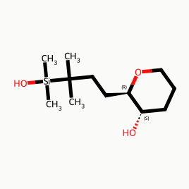 CC(C)(CC[C@H]1OCCC[C@@H]1O)[Si](C)(C)O